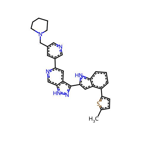 Cc1ccc(-c2cccc3[nH]c(-c4n[nH]c5cnc(-c6cncc(CN7CCCCC7)c6)cc45)cc23)s1